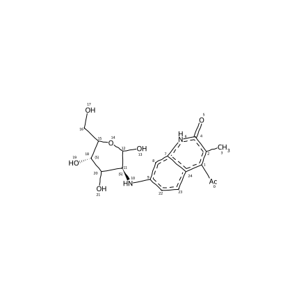 CC(=O)c1c(C)c(=O)[nH]c2cc(N[C@@H]3C(O)OC(CO)[C@@H](O)C3O)ccc12